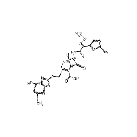 CON=C(C(=O)N[C@@H]1C(=O)N2C(C(=O)O)=C(CSc3nc4nc(C)cc(O)n4n3)CS[C@H]12)c1csc(N)n1